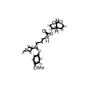 COc1ccc(SN(CCCNC(=O)O[C@@H]2CO[C@@H]3OCC[C@@H]32)C2CN(C)C2)cc1